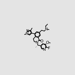 CCN(C)CCc1cc2c(c(-c3cn(C)nc3C)c1)CCN([C@@H](C)c1cnc(F)c(OC)c1)C2=O